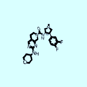 CN1C[C@@H](NC(=O)N2CCc3cnc(NC4CCOCC4)nc3C2)[C@H](c2ccc(F)c(F)c2)C1